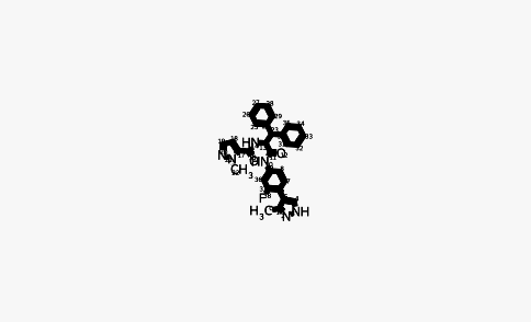 Cc1n[nH]cc1-c1ccc(NC(=O)C(NC(=O)c2ccnn2C)C(c2ccccc2)c2ccccc2)cc1F